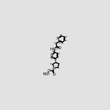 CC(C)(C)OC(=O)N1CC[C@H](c2ccc(NC(=O)Cc3ccccn3)nn2)C1